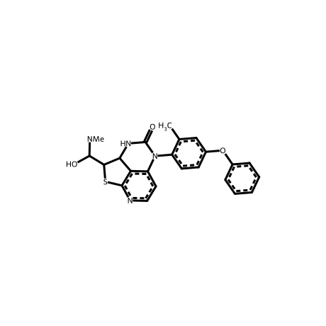 CNC(O)C1Sc2nccc3c2C1NC(=O)N3c1ccc(Oc2ccccc2)cc1C